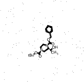 CC(O)[C@H]1CN(C(=O)OC(C)(C)C)CCN1C(=O)OCc1ccccc1